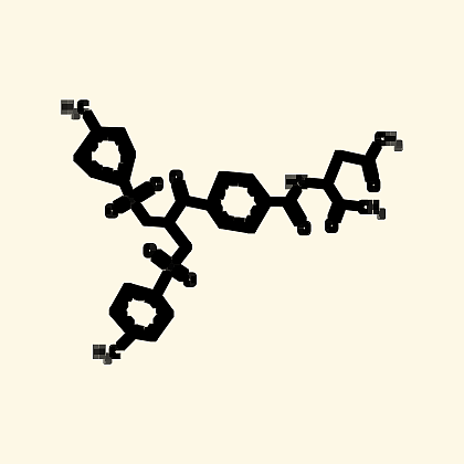 CC(=O)CC(NC(=O)c1ccc(C(=O)C(CS(=O)(=O)c2ccc(C)cc2)CS(=O)(=O)c2ccc(C)cc2)cc1)C(C)=O